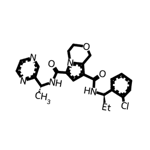 CC[C@@H](NC(=O)c1cc(C(=O)N[C@H](C)c2cnccn2)n2c1COCC2)c1ccccc1Cl